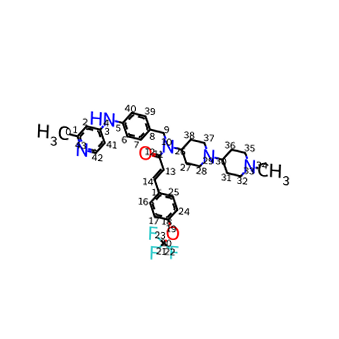 Cc1cc(Nc2ccc(CN(C(=O)C=Cc3ccc(OC(F)(F)F)cc3)C3CCN(C4CCN(C)CC4)CC3)cc2)ccn1